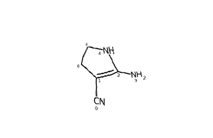 N#CC1=C(N)NCC1